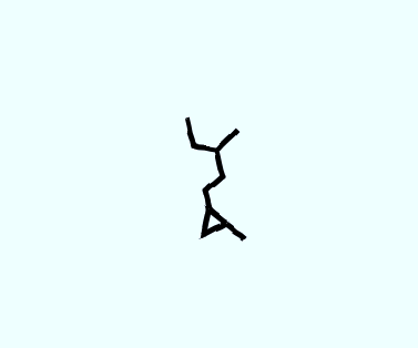 CCC(C)CCC1CC1C